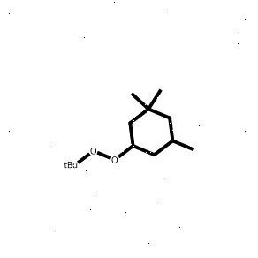 CC1C[C](OOC(C)(C)C)CC(C)(C)C1